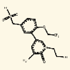 CCS(=O)(=O)Cc1ccc(OCC(F)(F)F)c(-c2cc(C)c(=O)n(CCO)c2)c1